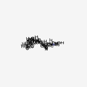 COc1c(NC(=O)c2ccc(NS(=O)(=O)c3ccc(NC(=O)[C@H](CC#N)NC(=O)c4ccc(NC(=O)/C(C)=C/c5ccc(O)cc5)cc4)cc3)c(OC)c2O)ccc(C(=O)O)c1O